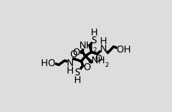 NC(=O)C(C(N)=O)(C(CS)C(=O)NCCO)C(CS)C(=O)NCCO